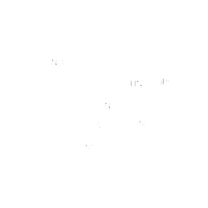 CC(C)NC(=O)N=S(C)(=O)c1cccc([N+](=O)[O-])c1